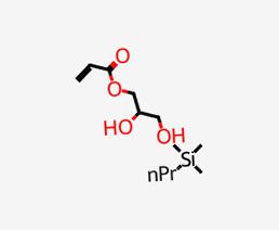 C=CC(=O)OCC(O)CO.CCC[Si](C)(C)C